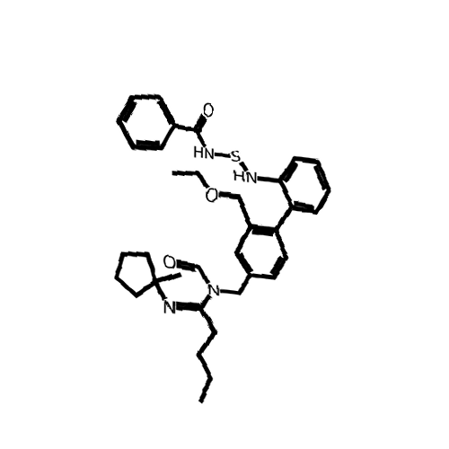 CCCC/C(=N/C1(C)CCCC1)N(C=O)Cc1ccc(-c2ccccc2NSNC(=O)c2ccccc2)c(COCC)c1